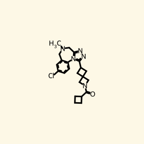 CN1Cc2cc(Cl)ccc2-n2c(nnc2C2CC3(C2)CN(C(=O)C2CCC2)C3)C1